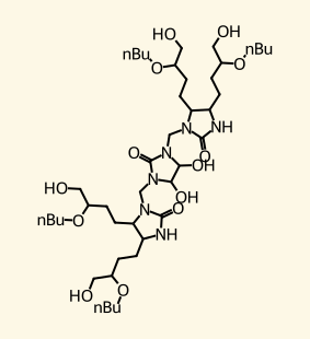 CCCCOC(CO)CCC1NC(=O)N(CN2C(=O)N(CN3C(=O)NC(CCC(CO)OCCCC)C3CCC(CO)OCCCC)C(O)C2O)C1CCC(CO)OCCCC